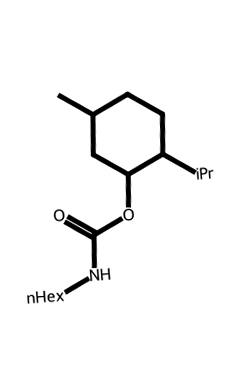 CCCCCCNC(=O)OC1CC(C)CCC1C(C)C